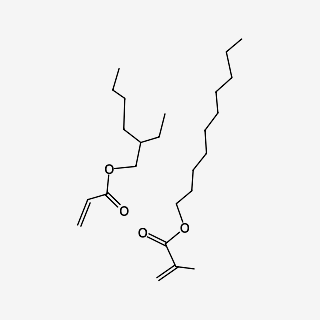 C=C(C)C(=O)OCCCCCCCCCC.C=CC(=O)OCC(CC)CCCC